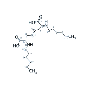 CCCCCSNC(CSSC[C@H](NSCCCCC)C(=O)O)C(=O)O